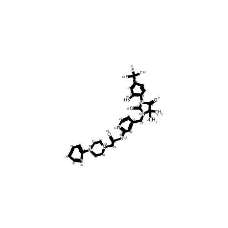 CC1(C)C(=O)N(c2ccc(C(F)(F)F)cc2S)C(=O)N1Cc1ccnc(NC(=O)CN2CCN(c3ccccn3)CC2)c1